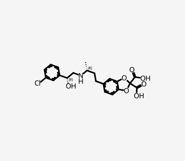 C[C@H](CCc1ccc2c(c1)OC(C(=O)O)(C(=O)O)O2)NC[C@H](O)c1cccc(Cl)c1